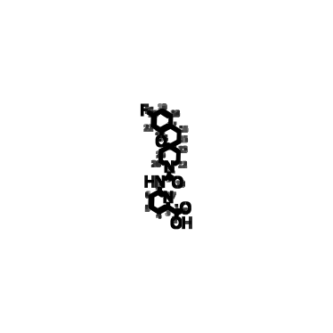 O=C(O)c1cccc(NC(=O)N2CCC3(CCc4ccc(F)cc4O3)CC2)n1